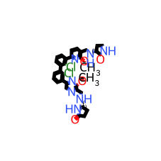 COc1nc(-c2cccc(-c3cccc(-c4cnc(CNC[C@@H]5CCC(=O)N5)c(OC)n4)c3Cl)c2Cl)ccc1CN[C@H]1CCNC1=O